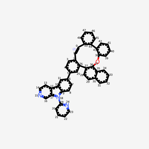 C1=C\c2ccc(-c3ccc4c(c3)c3ccncc3n4-c3ccccn3)cc2-c2ccc3ccccc3c2Oc2ccccc2-c2ccccc2/1